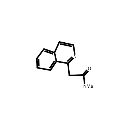 CNC(=O)Cc1nccc2ccccc12